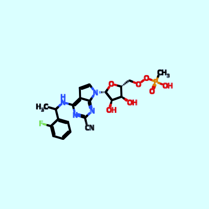 CC(Nc1nc(C#N)nc2c1ccn2[C@@H]1O[C@H](COOP(C)(=O)O)[C@@H](O)[C@H]1O)c1ccccc1F